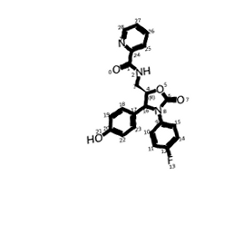 O=C(NC[C@H]1OC(=O)N(c2ccc(F)cc2)C1c1ccc(O)cc1)c1ccccn1